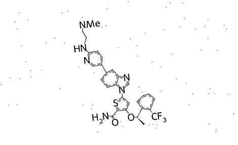 CNCCNc1ccc(-c2ccc3c(c2)ncn3-c2cc(O[C@H](C)c3ccccc3C(F)(F)F)c(C(N)=O)s2)cn1